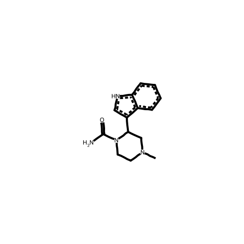 CN1CCN(C(N)=O)C(c2c[nH]c3ccccc23)C1